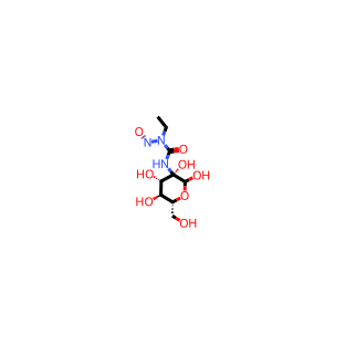 CCN(N=O)C(=O)N[C@@]1(O)C(O)O[C@H](CO)[C@@H](O)[C@@H]1O